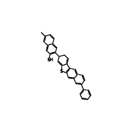 Cc1ccc2cc(C3C=c4sc5cc6cc(-c7ccccc7)ccc6cc5c4=CC3)c(S)cc2c1